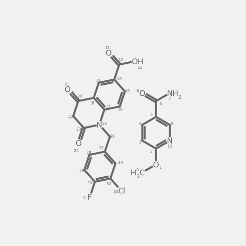 COc1ccc(C(N)=O)cn1.O=C(O)c1ccc2c(c1)C(=O)CC(=O)N2Cc1ccc(F)c(Cl)c1